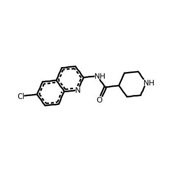 O=C(Nc1ccc2cc(Cl)ccc2n1)C1CCNCC1